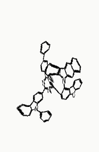 c1ccc(-c2ccc(-c3nc(-c4ccc5c6ccccc6n(-c6ccccc6)c5c4)nc(-c4ccc5oc6ccccc6c5c4-n4c5ccccc5c5cc6ccccc6cc54)n3)cc2)cc1